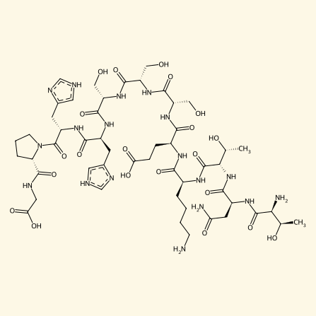 C[C@@H](O)[C@H](N)C(=O)N[C@@H](CC(N)=O)C(=O)N[C@H](C(=O)N[C@@H](CCCCN)C(=O)N[C@@H](CCC(=O)O)C(=O)N[C@@H](CO)C(=O)N[C@@H](CO)C(=O)N[C@@H](CO)C(=O)N[C@@H](Cc1c[nH]cn1)C(=O)N[C@@H](Cc1c[nH]cn1)C(=O)N1CCC[C@H]1C(=O)NCC(=O)O)[C@@H](C)O